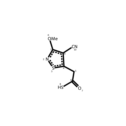 COc1nsc(CC(=O)S)c1C#N